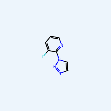 Fc1cccnc1-n1c[c]nn1